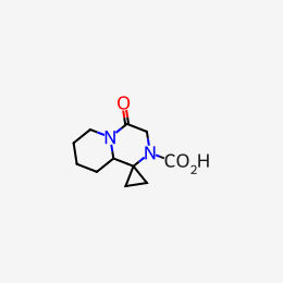 O=C1CN(C(=O)O)C2(CC2)C2CCCCN12